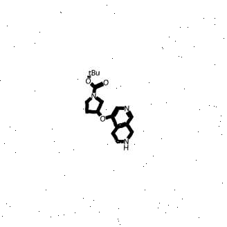 CC(C)(C)OC(=O)N1CCC(Oc2cncc3c2CCNC3)C1